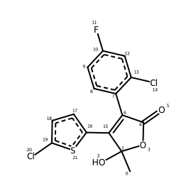 CC1(O)OC(=O)C(c2ccc(F)cc2Cl)=C1c1ccc(Cl)s1